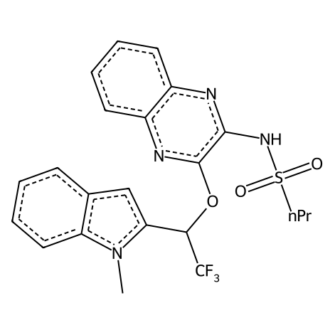 CCCS(=O)(=O)Nc1nc2ccccc2nc1OC(c1cc2ccccc2n1C)C(F)(F)F